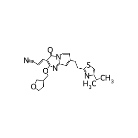 CC(C)c1csc(CCc2ccn3c(=O)c(/C=C/C#N)c(OCC4CCOC4)nc3c2)n1